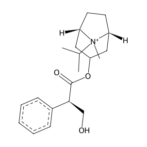 CC(C)[N+]1(C)[C@@H]2CC[C@H]1CC(OC(=O)[C@@H](CO)c1ccccc1)C2